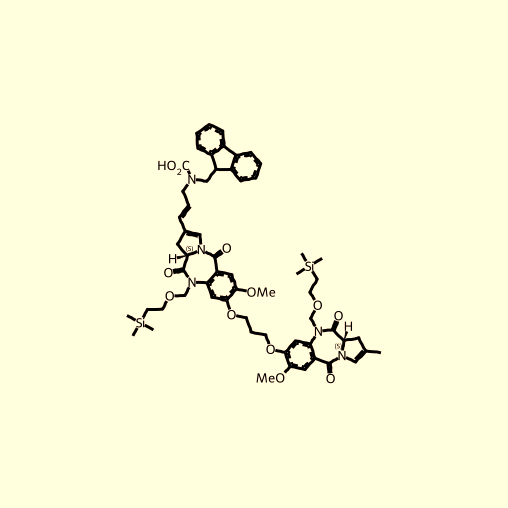 COc1cc2c(cc1OCCCOc1cc3c(cc1OC)C(=O)N1C=C(C=CCN(CC4c5ccccc5-c5ccccc54)C(=O)O)C[C@H]1C(=O)N3COCC[Si](C)(C)C)N(COCC[Si](C)(C)C)C(=O)[C@@H]1CC(C)=CN1C2=O